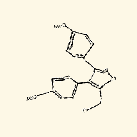 COc1ccc(-c2noc(CCl)c2-c2ccc(OC)cc2)cc1